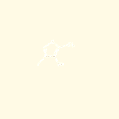 Cc1scc(I)c1C(C)(C)C